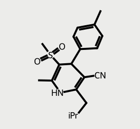 CC1=C(S(C)(=O)=O)C(c2ccc(C)cc2)C(C#N)=C(CC(C)C)N1